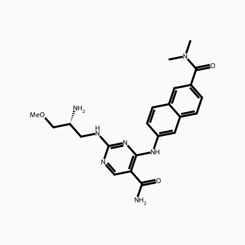 COC[C@H](N)CNc1ncc(C(N)=O)c(Nc2ccc3cc(C(=O)N(C)C)ccc3c2)n1